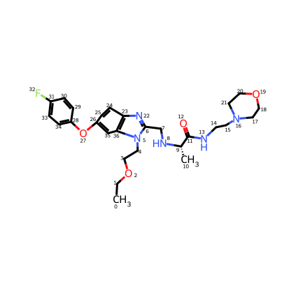 CCOCCn1c(CN[C@@H](C)C(=O)NCCN2CCOCC2)nc2ccc(Oc3ccc(F)cc3)cc21